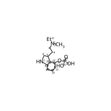 CCN(C)CCC1CNc2cccc(OP(=O)(O)O)c21